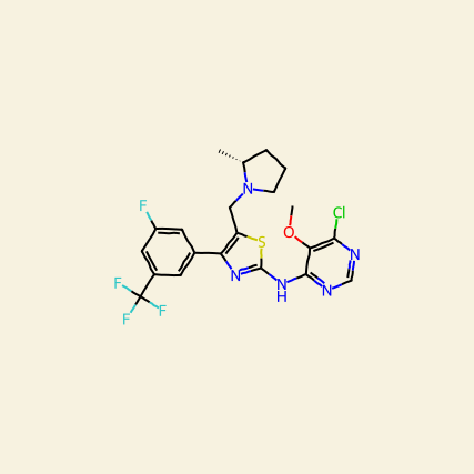 COc1c(Cl)ncnc1Nc1nc(-c2cc(F)cc(C(F)(F)F)c2)c(CN2CCC[C@H]2C)s1